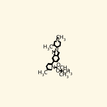 C[C@H]1CC=C(c2ccc3cn([C@H]4CCN(C)C[C@@H]4C)nc3c2)N(C(=O)OC(C)(C)C)C1